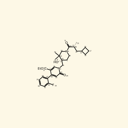 CCOC(=O)c1cn(C[C@]2(O)CCN(C(=O)[C@H](C)CC3CCC3)CC2(C)C)c(=O)cc1-c1ccccc1F